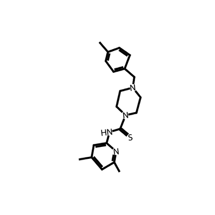 Cc1ccc(CN2CCN(C(=S)Nc3cc(C)cc(C)n3)CC2)cc1